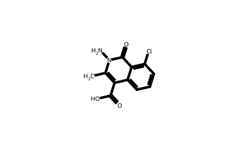 Cc1c(C(=O)O)c2cccc(Cl)c2c(=O)n1N